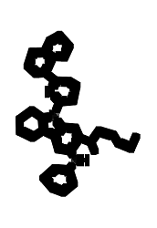 C/C=C\C=C/C(C)c1cc2c(cc1Nc1ccccc1)c1c(n2-c2cccc(-c3cccc4ccccc34)n2)CCC=C1